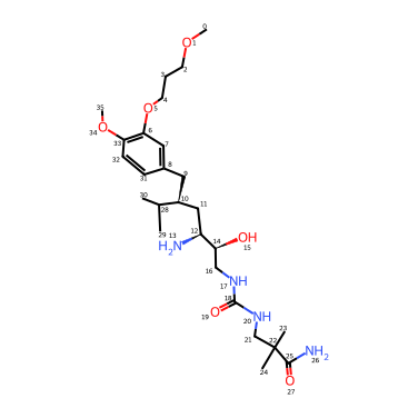 COCCCOc1cc(C[C@@H](C[C@H](N)[C@@H](O)CNC(=O)NCC(C)(C)C(N)=O)C(C)C)ccc1OC